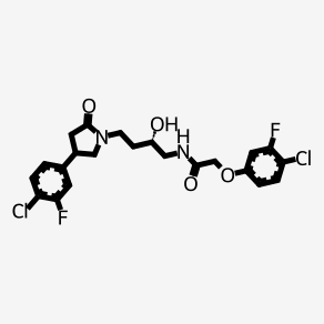 O=C(COc1ccc(Cl)c(F)c1)NC[C@@H](O)CCN1CC(c2ccc(Cl)c(F)c2)CC1=O